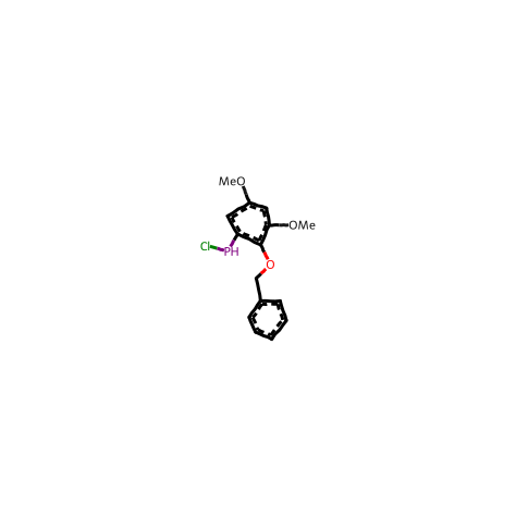 COc1cc(OC)c(OCc2ccccc2)c(PCl)c1